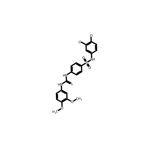 COc1ccc(NC(=S)Nc2ccc(S(=O)(=O)Nc3ccc(Cl)c(Cl)c3)cc2)cc1OC